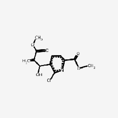 C=C(C(=O)OC)C(O)c1ccc(C(=O)OC)nc1Cl